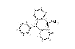 NC(=O)c1ccccc1C(c1ccccc1)c1ccccc1